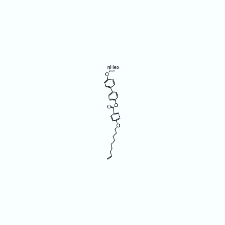 C=CCCCCCCCOc1ccc(C(=O)Oc2ccc(-c3ccc(O[C@@H](C)CCCCCC)cc3)cc2)cc1